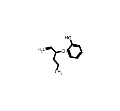 C=CC(C)CCC.Oc1ccccc1